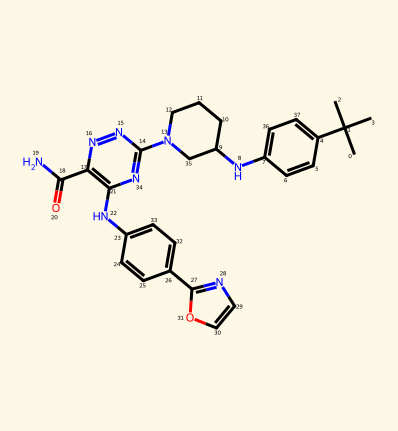 CC(C)(C)c1ccc(NC2CCCN(c3nnc(C(N)=O)c(Nc4ccc(-c5ncco5)cc4)n3)C2)cc1